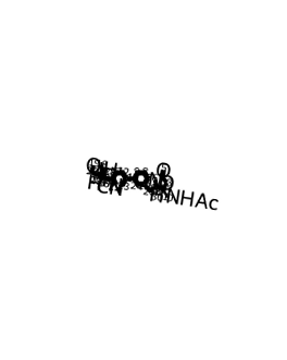 CC(=O)NC[C@@H]1OC(=O)N2c3ccc(-c4ccc([C@@]5(C#N)[C@@H]6COC[C@@H]65)nc4)cc3C[C@@H]12